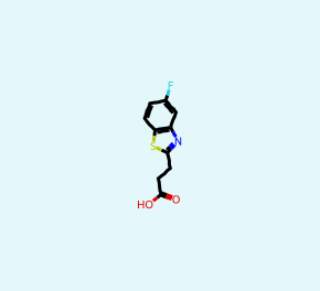 O=C(O)CCc1nc2cc(F)ccc2s1